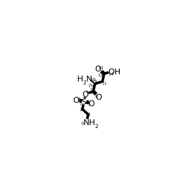 NCCS(=O)(=O)OC(=O)[C@@H](N)CC(=O)O